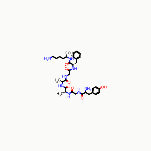 C[C@H](NC(=O)CNC(=O)[C@@H](N)Cc1ccc(O)cc1)C(=O)N[C@@H](C)C(=O)NCC(=O)N[C@@H](Cc1ccccc1)C(=O)N[C@@H](CCCCN)C(=O)O